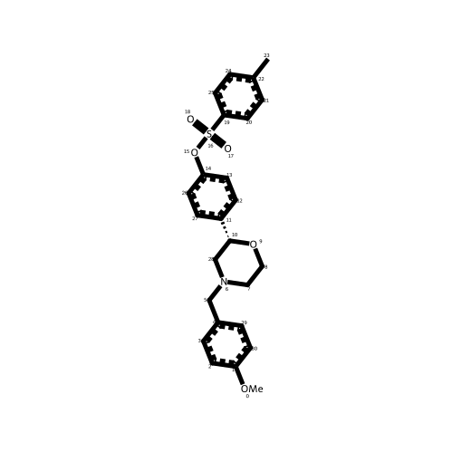 COc1ccc(CN2CCO[C@@H](c3ccc(OS(=O)(=O)c4ccc(C)cc4)cc3)C2)cc1